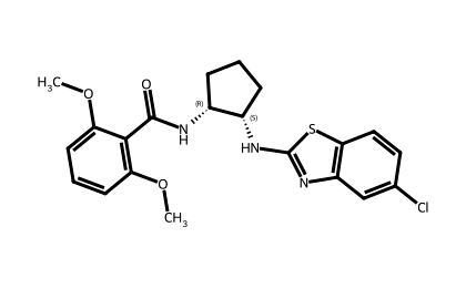 COc1cccc(OC)c1C(=O)N[C@@H]1CCC[C@@H]1Nc1nc2cc(Cl)ccc2s1